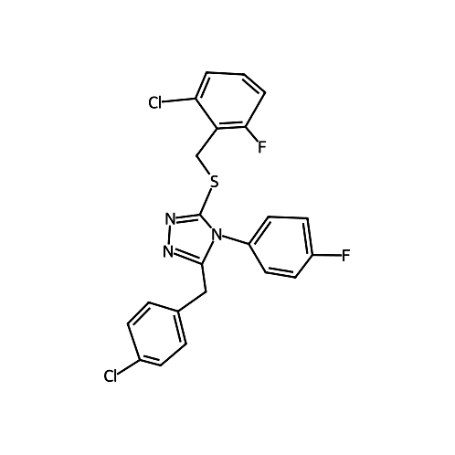 Fc1ccc(-n2c(Cc3ccc(Cl)cc3)nnc2SCc2c(F)cccc2Cl)cc1